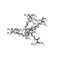 C=C(C)C(=O)OCCC[Si](O[Si](C)(C)CCO[SiH2]O[Si](C)(C)C)(O[Si](C)(C)CCO[SiH2]O[Si](C)(C)C)O[Si](C)(C)CCO[SiH2]O[Si](C)(C)C